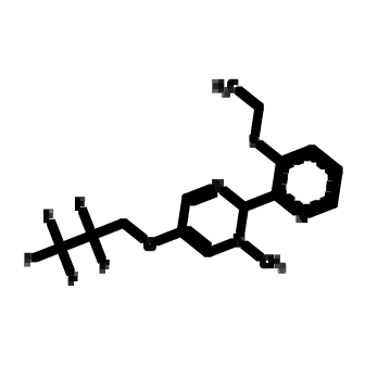 CCSc1cccnc1C1N=CC(OCC(F)(F)C(F)(F)F)=CN1C